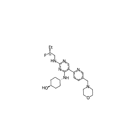 CC[C@H](F)CNc1ncc(-c2ccc(CN3CCOCC3)cn2)c(N[C@H]2CC[C@H](O)CC2)n1